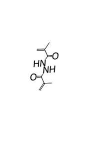 C=C(C)C(=O)NNC(=O)C(=C)C